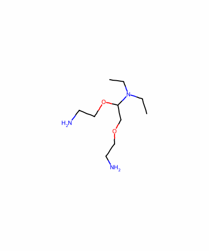 CCN(CC)C(COCCN)OCCN